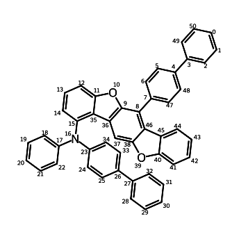 c1ccc(-c2ccc(-c3c4oc5cccc(N(c6ccccc6)c6ccc(-c7ccccc7)cc6)c5c4cc4oc5ccccc5c34)cc2)cc1